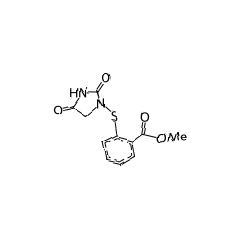 COC(=O)c1ccccc1SN1CC(=O)NC1=O